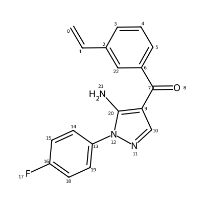 C=Cc1cccc(C(=O)c2cnn(-c3ccc(F)cc3)c2N)c1